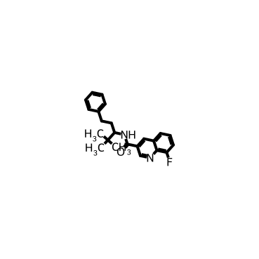 CC(C)(C)C(CCc1ccccc1)NC(=O)c1cnc2c(F)cccc2c1